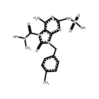 CCCN(C)C(=O)n1c(=O)n(Cc2ccc(C)cc2)c2nc(NS(=O)(=O)CCC)nc(N)c21